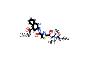 CCCO[C@H](CC(C(C)C)N(CCC)C(=O)C[C@@H](C)CC)c1nc(C(=O)N[C@H]2Cc3ccccc3[C@H](C(=O)OC)C2)cs1